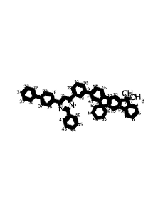 CC1(C)c2ccccc2-c2cc3c(cc21)-c1ccc(-c2cccc(-c4cc(-c5ccc(-c6ccccc6)cc5)nc(-c5ccccc5)n4)c2)cc1C31CCCCC1